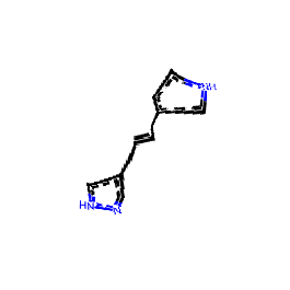 C(=Cc1cn[nH]c1)c1cc[nH]c1